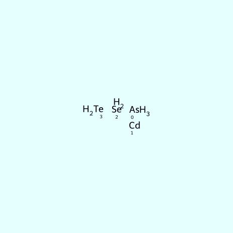 [AsH3].[Cd].[SeH2].[TeH2]